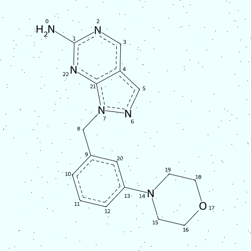 Nc1ncc2cnn(Cc3cccc(N4CCOCC4)c3)c2n1